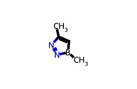 CB1C=C(C)N=N1